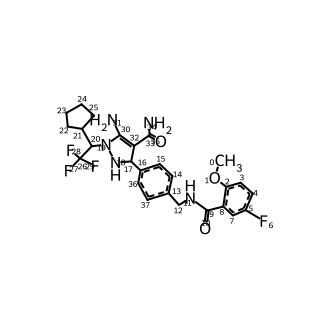 COc1ccc(F)cc1C(=O)NCc1ccc(C2NN(C(C3CCCC3)C(F)(F)F)C(N)=C2C(N)=O)cc1